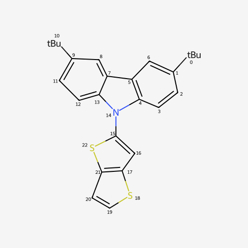 CC(C)(C)c1ccc2c(c1)c1cc(C(C)(C)C)ccc1n2-c1cc2sccc2s1